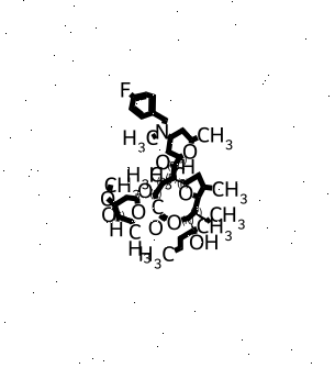 CCCC(C)(O)[C@@H]1OC(=O)C[C@H](OC2CC3(OC)O[C@H]3C(C)O2)[C@H](C)[C@H]([C@H]2OC3C(N(C)Cc4ccc(F)cc4)CC(C)O[C@H]32)[C@@]2(C)CC(C)C(O2)[C@H]1CC